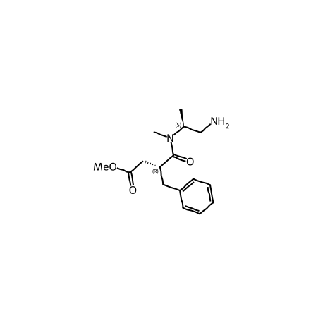 COC(=O)C[C@@H](Cc1ccccc1)C(=O)N(C)[C@@H](C)CN